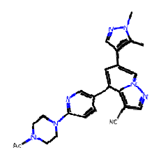 CC(=O)N1CCN(c2ccc(-c3cc(-c4cnn(C)c4C)cn4ncc(C#N)c34)cn2)CC1